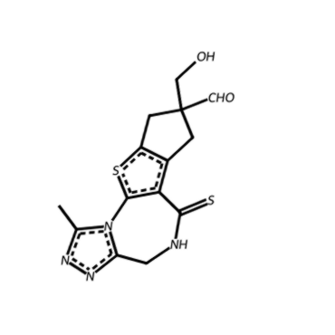 Cc1nnc2n1-c1sc3c(c1C(=S)NC2)CC(C=O)(CO)C3